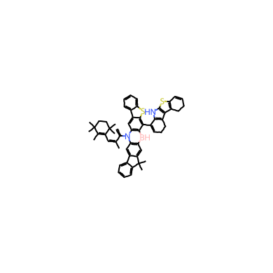 C=C(/C(C)=C\C1=C(C)C(C)(C)CCC1(C)C)N1c2cc3c(cc2Bc2c1cc1c(sc4ccccc41)c2C1=CCCc2c1[nH]c1sc4c(c21)CCC=C4)C(C)(C)c1ccccc1-3